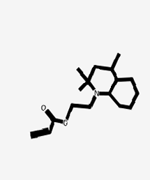 C=CC(=O)OCCN1C2CCCCC2C(C)CC1(C)C